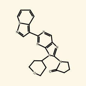 O=C1CCCN1c1nc2cnc(-c3cnn4ccccc34)nc2n1C1CCOCC1